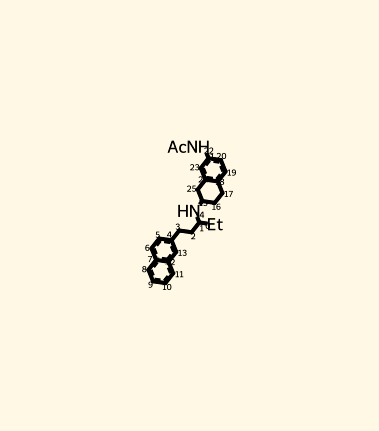 CCC(CCc1ccc2ccccc2c1)NC1CCc2ccc(NC(C)=O)cc2C1